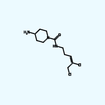 NC1CCN(C(=O)NCC/C=C(/Cl)CCl)CC1